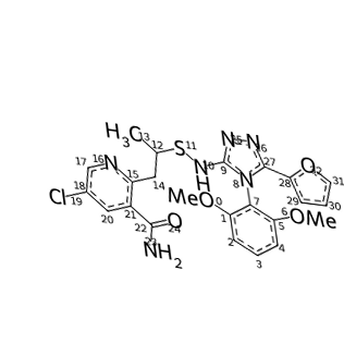 COc1cccc(OC)c1-n1c(NSC(C)Cc2ncc(Cl)cc2C(N)=O)nnc1-c1ccco1